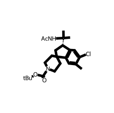 CC(=O)NC(C)(C)[C@H]1CC2(CCN(C(=O)OC(C)(C)C)CC2)c2cc(C)c(Cl)cc21